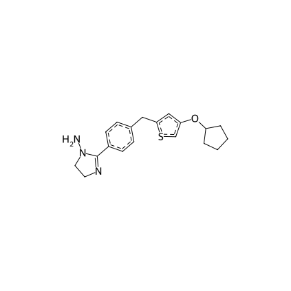 NN1CCN=C1c1ccc(Cc2cc(OC3CCCC3)cs2)cc1